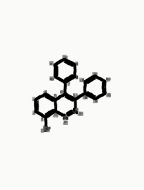 Brc1cccc2c(-c3ccccc3)c(-c3ccccc3)nnc12